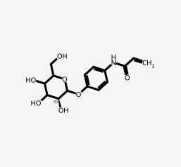 C=CC(=O)Nc1ccc(OC2OC(CO)C(O)C(O)[C@@H]2O)cc1